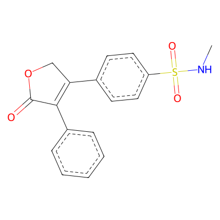 CNS(=O)(=O)c1ccc(C2=C(c3ccccc3)C(=O)OC2)cc1